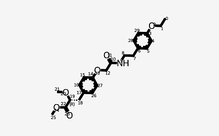 CCOc1ccc(CCNC(=O)COc2ccc(C[C@@H](OC)C(=O)OC)cc2)cc1